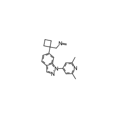 C=NCC1(c2ccc3cnn(-c4cc(C)nc(C)c4)c3c2)CCC1